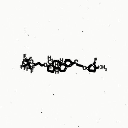 Cc1ccc(OCCOc2ccc3c(c2)CC[C@@H]2[C@@H]3CC[C@]3(C)[C@@H](OCCCOC(C(F)(F)F)(C(F)(F)F)C(F)(F)F)CC[C@@H]23)cc1F